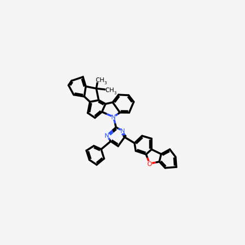 CC1(C)c2ccccc2-c2ccc3c(c21)c1ccccc1n3-c1nc(-c2ccccc2)cc(-c2ccc3c(c2)oc2ccccc23)n1